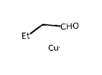 CCCC=O.[Cu]